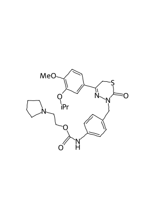 COc1ccc(C2=NN(Cc3ccc(NC(=O)OCCN4CCCC4)cc3)C(=O)SC2)cc1OC(C)C